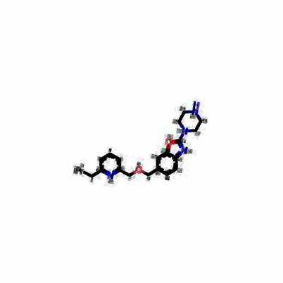 CC(C)Cc1cccc(COCc2ccc3nc(N4CCNCC4)oc3c2)n1